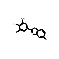 N#Cc1cc(-c2nc3cc(F)ccc3s2)cc(F)c1N